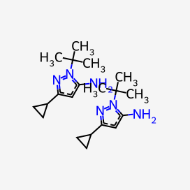 CC(C)(C)n1nc(C2CC2)cc1N.CC(C)(C)n1nc(C2CC2)cc1N